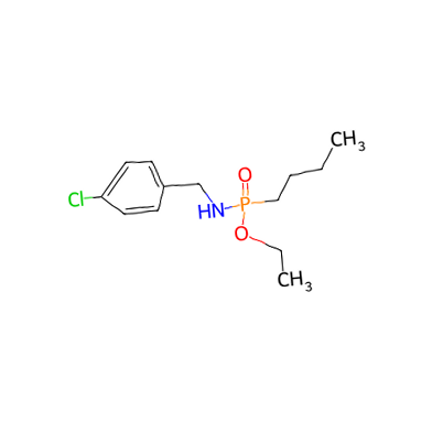 CCCCP(=O)(NCc1ccc(Cl)cc1)OCC